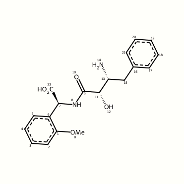 COc1ccccc1[C@H](NC(=O)[C@@H](O)[C@H](N)Cc1ccccc1)C(=O)O